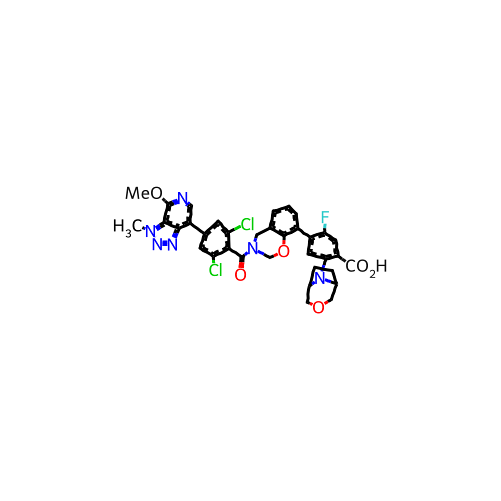 COc1ncc(-c2cc(Cl)c(C(=O)N3COc4c(cccc4-c4cc(N5C6CCC5COC6)c(C(=O)O)cc4F)C3)c(Cl)c2)c2nnn(C)c12